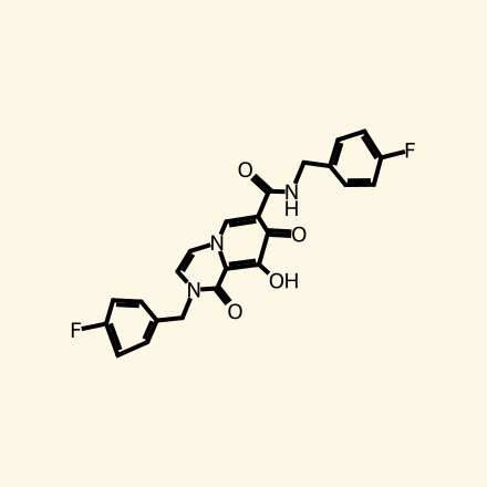 O=C(NCc1ccc(F)cc1)c1cn2ccn(Cc3ccc(F)cc3)c(=O)c2c(O)c1=O